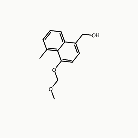 COCOc1ccc(CO)c2cccc(C)c12